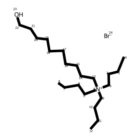 CCCC[N+](CCCC)(CCCC)CCCCCCCCCCO.[Br-]